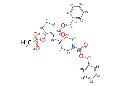 CS(=O)(=O)OC1CCCC1(CC1CCN(C(=O)OCc2ccccc2)CC1)C(=O)OCc1ccccc1